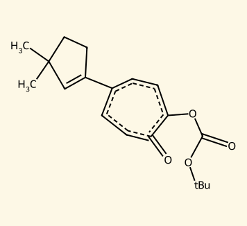 CC1(C)C=C(c2ccc(OC(=O)OC(C)(C)C)c(=O)cc2)CC1